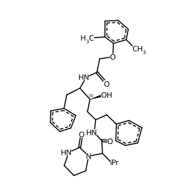 Cc1cccc(C)c1OCC(=O)NC(Cc1ccccc1)[C@@H](O)CC(Cc1ccccc1)NC(=O)C(C(C)C)N1CCCNC1=O